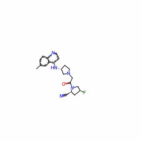 Cc1ccc2nccc(N[C@@H]3CCN(CC(=O)N4C[C@@H](F)C[C@H]4C#N)C3)c2c1